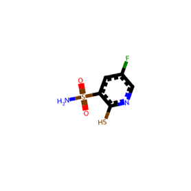 NS(=O)(=O)c1cc(F)cnc1S